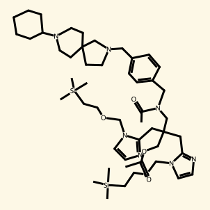 CC(=O)OCC(Cc1nccn1COCC[Si](C)(C)C)(Cc1nccn1COCC[Si](C)(C)C)CN(Cc1ccc(CN2CCC3(CCN(C4CCCCC4)CC3)C2)cc1)C(C)=O